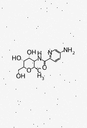 C[C@H]1OC(CO)[C@H](O)[C@H](O)C1NC(=O)c1ccc(N)cn1